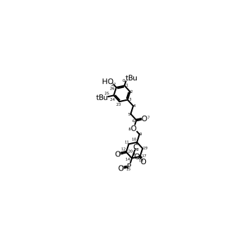 CC(C)(C)c1cc(CCC(=O)OCC23CC(=O)C(P=O)(C(=O)C2)C(=O)C3)cc(C(C)(C)C)c1O